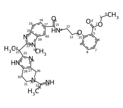 CCOC(=O)c1ccccc1OCCNC(=O)c1ccc2nc(C(C)c3nc4c([nH]3)CCN(C(C)=N)C4)n(C)c2c1